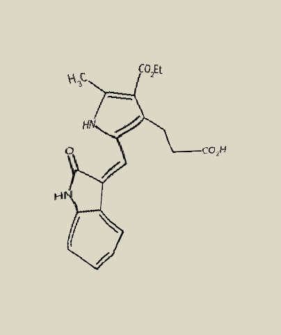 CCOC(=O)c1c(C)[nH]c(C=C2C(=O)Nc3ccccc32)c1CCC(=O)O